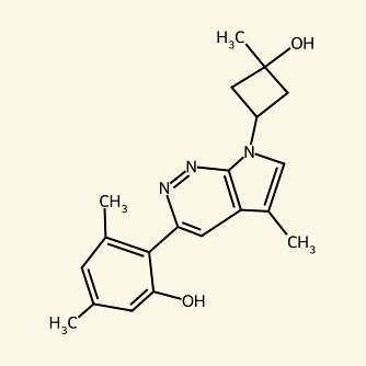 Cc1cc(C)c(-c2cc3c(C)cn(C4CC(C)(O)C4)c3nn2)c(O)c1